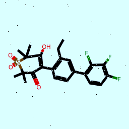 CCc1cc(-c2ccc(F)c(F)c2F)ccc1C1=C(O)C(C)(C)S(=O)(=O)C(C)(C)C1=O